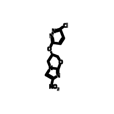 O=[N+]([O-])c1cn2c(n1)OC[C@@H](Oc1ccc(Cl)nn1)C2